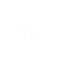 Cc1cc(C(C)(C)c2ccc(O)c(O)c2O)cc(C)c1O